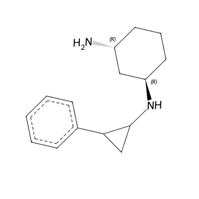 N[C@@H]1CCC[C@@H](NC2CC2c2ccccc2)C1